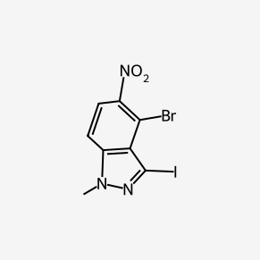 Cn1nc(I)c2c(Br)c([N+](=O)[O-])ccc21